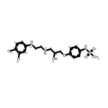 CS(=O)(=O)Nc1ccc(OCC(O)CNCCNc2ccc(Cl)c(Cl)c2)cc1